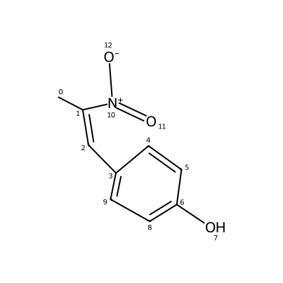 CC(=Cc1ccc(O)cc1)[N+](=O)[O-]